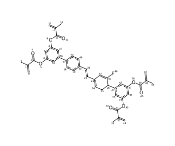 C=C(C)C(=O)Oc1cc(OC(=O)C(=C)C)cc(-c2ccc(/C=C/C3=CCC(c4cc(OC(=O)C(=C)C)cc(OC(=O)C(=C)C)c4)C(F)=C3)cc2)c1